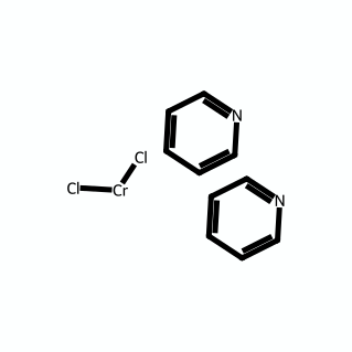 [Cl][Cr][Cl].c1ccncc1.c1ccncc1